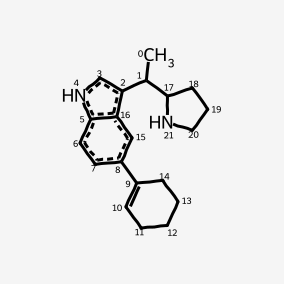 CC(c1c[nH]c2ccc(C3=CCCCC3)cc12)C1CCCN1